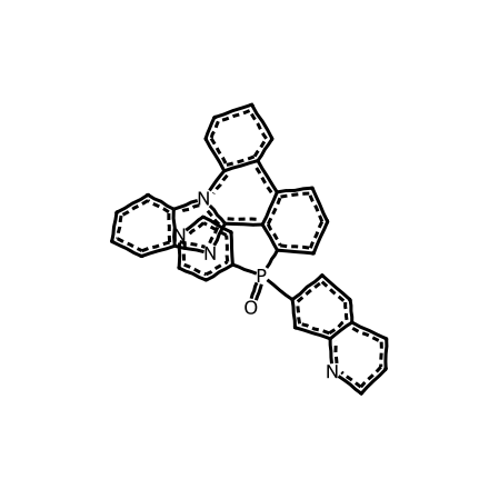 O=P(c1ccncc1)(c1ccc2cccnc2c1)c1cccc2c3ccccc3n3c4ccccc4nc3c12